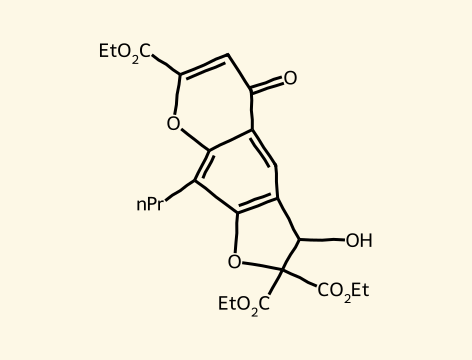 CCCc1c2c(cc3c(=O)cc(C(=O)OCC)oc13)C(O)C(C(=O)OCC)(C(=O)OCC)O2